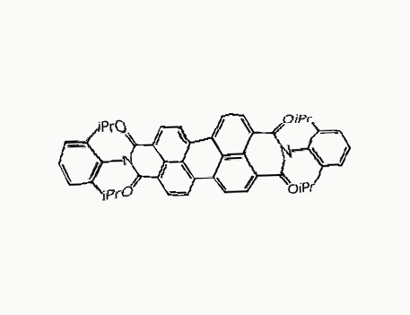 CC(C)c1cccc(C(C)C)c1N1C(=O)c2ccc3c4ccc5c6c(ccc(c7ccc(c2c37)C1=O)c64)C(=O)N(c1c(C(C)C)cccc1C(C)C)C5=O